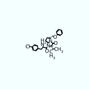 CC(C)[C@H]1C(=O)N2C(CC[C@@H]2COc2ccccc2)N1C(=O)C(N)Cc1ccc(Cl)cc1